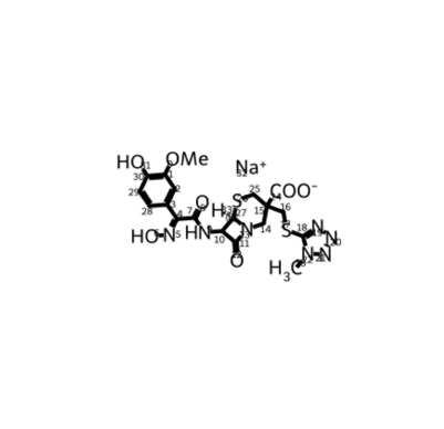 COc1cc(C(=NO)C(=O)NC2C(=O)N3CC(CSc4nnnn4C)(C(=O)[O-])CS[C@H]23)ccc1O.[Na+]